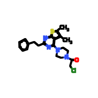 Cc1sc2nc(CCc3ccccc3)nc(N3CCN(C(=O)CCl)CC3)c2c1C